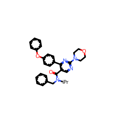 CC(C)N(Cc1ccccc1)C(=O)c1cnc(N2CCOCC2)nc1-c1ccc(Oc2ccccc2)cc1